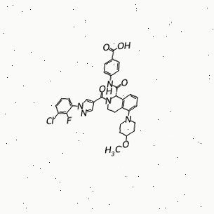 COC1CCN(c2cccc3c2CCN(C(=O)c2cnn(-c4cccc(Cl)c4F)c2)[C@H]3C(=O)Nc2ccc(C(=O)O)cc2)CC1